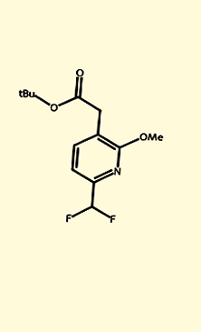 COc1nc(C(F)F)ccc1CC(=O)OC(C)(C)C